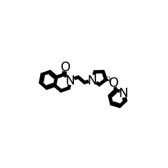 O=C1c2ccccc2CCN1CCN1CC[C@H](Oc2ccccn2)C1